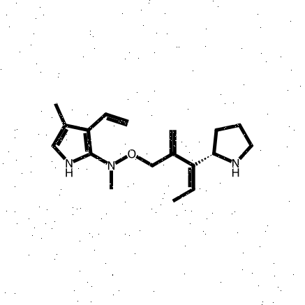 C=Cc1c(C)c[nH]c1N(C)OCC(=C)/C(=C\C)[C@@H]1CCCN1